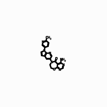 Cc1ccc(-n2ccc3cc(N4CCOc5ncnc(N)c5C4=O)cnc32)cn1